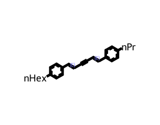 CCCCCCc1ccc(/C=C/C#C/C=C/c2ccc(CCC)cc2)cc1